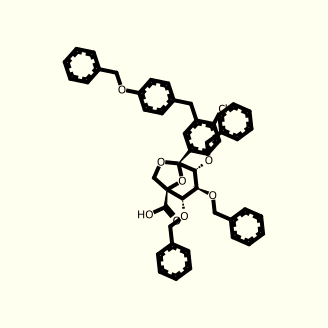 O=C(O)[C@@]12CO[C@@](c3ccc(Cl)c(Cc4ccc(OCc5ccccc5)cc4)c3)(O1)[C@H](OCc1ccccc1)[C@@H](OCc1ccccc1)[C@@H]2OCc1ccccc1